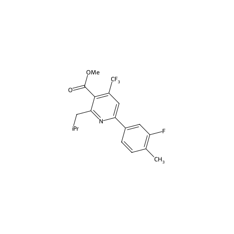 COC(=O)c1c(C(F)(F)F)cc(-c2ccc(C)c(F)c2)nc1CC(C)C